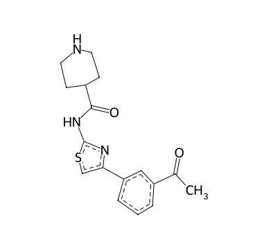 CC(=O)c1cccc(-c2csc(NC(=O)C3CCNCC3)n2)c1